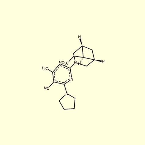 N#Cc1c(C(F)(F)F)cc(N2C[C@H]3C[C@@H](C2)[C@@H]3CC(=O)O)nc1N1CCCC1